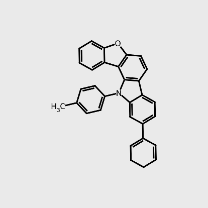 Cc1ccc(-n2c3cc(C4=CCCC=C4)ccc3c3ccc4oc5ccccc5c4c32)cc1